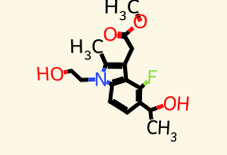 COC(=O)Cc1c(C)n(CCO)c2ccc(C(C)O)c(F)c12